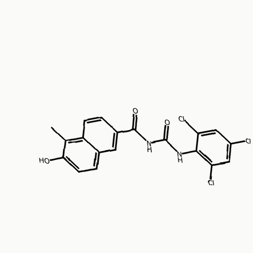 Cc1c(O)ccc2cc(C(=O)NC(=O)Nc3c(Cl)cc(Cl)cc3Cl)ccc12